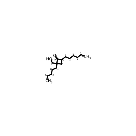 CCCCCCC1CC(CO)(CCCCC)C1=O